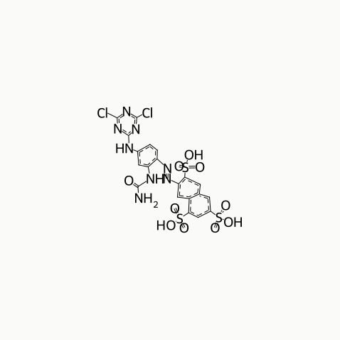 NC(=O)Nc1cc(Nc2nc(Cl)nc(Cl)n2)ccc1/N=N/c1cc2c(S(=O)(=O)O)cc(S(=O)(=O)O)cc2cc1S(=O)(=O)O